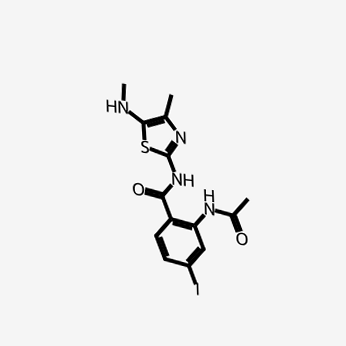 CNc1sc(NC(=O)c2ccc(I)cc2NC(C)=O)nc1C